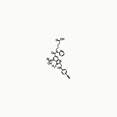 Cn1c(CNc2ccc(C#N)cc2)nc2cc(C(=O)N(CCCCC(=O)O)c3ccccn3)ccc21.O=[N+]([O-])O